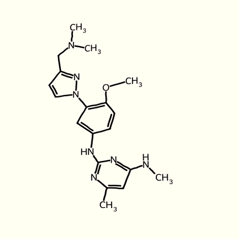 CNc1cc(C)nc(Nc2ccc(OC)c(-n3ccc(CN(C)C)n3)c2)n1